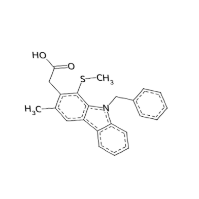 CSc1c(CC(=O)O)c(C)cc2c3ccccc3n(Cc3ccccc3)c12